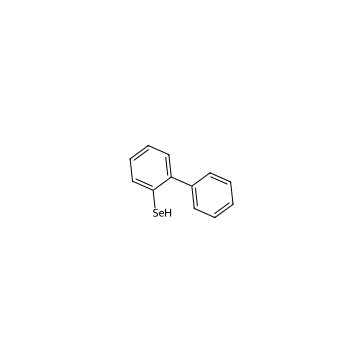 [SeH]c1ccccc1-c1ccccc1